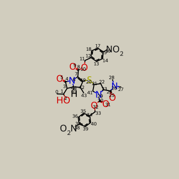 CC(O)C1C(=O)N2C(C(=O)OCc3ccc([N+](=O)[O-])cc3)=C(SC3CC(C(=O)N(C)C)N(C(=O)OCc4ccc([N+](=O)[O-])cc4)C3)C(C)[C@H]12